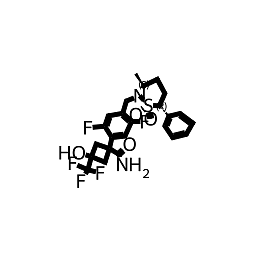 C[C@H]1CC[C@H](c2ccccc2)S(=O)(=O)N1Cc1cc(F)c(C2(C(N)=O)CC(O)(C(F)(F)F)C2)cc1F